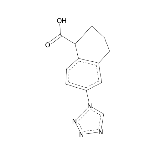 O=C(O)C1CCCc2cc(-n3cnnn3)ccc21